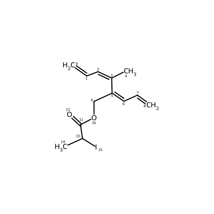 C=C/C=C(C)\C(=C/C=C)COC(=O)C(C)I